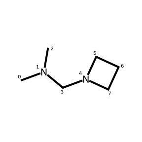 CN(C)CN1CCC1